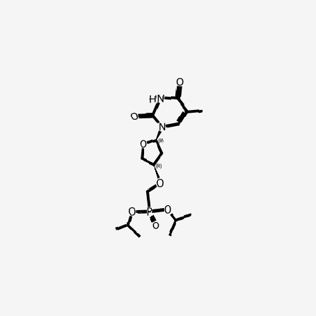 Cc1cn([C@H]2C[C@@H](OCP(=O)(OC(C)C)OC(C)C)CO2)c(=O)[nH]c1=O